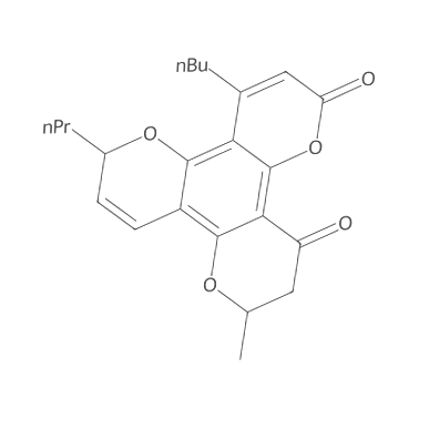 CCCCc1cc(=O)oc2c3c(c4c(c12)OC(CCC)C=C4)OC(C)CC3=O